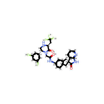 O=C(CN1C(=O)[C@H](CC(F)(F)F)NC[C@H]1c1cc(F)cc(F)c1)Nc1ccc2c(c1)C[C@@]1(C2)C(=O)Nc2ncccc21